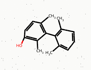 Cc1cccc(C)c1-c1c(C)ccc(O)c1C